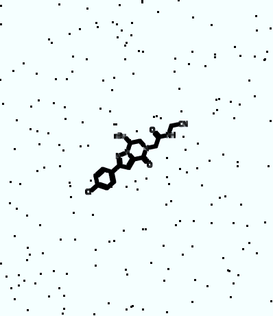 CCCCC1CN(CC(=O)NCC#N)C(=O)c2cc(-c3ccc(Cl)cc3)nn21